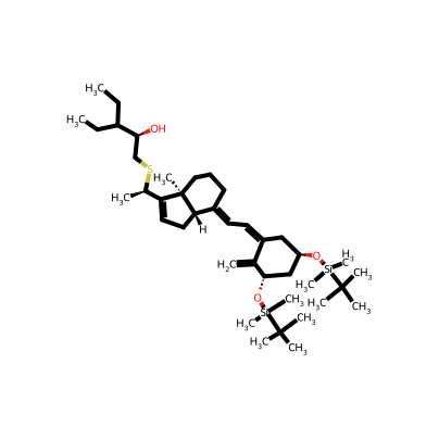 C=C1C(=CC=C2CCC[C@]3(C)C([C@@H](C)SC[C@H](O)C(CC)CC)=CC[C@@H]23)C[C@@H](O[Si](C)(C)C(C)(C)C)C[C@@H]1O[Si](C)(C)C(C)(C)C